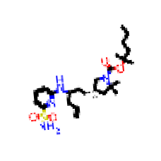 C=CCC(CC[C@@H]1CN(C(=O)OC(C)(C)CCCC)C(C)(C)C1)Nc1cccc(S(N)(=O)=O)n1